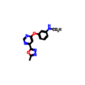 Cc1nnc(-c2cc(Oc3cccc(NC(=O)O)c3)ncn2)o1